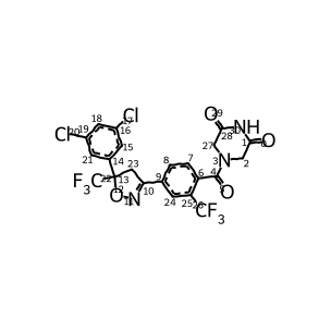 O=C1CN(C(=O)c2ccc(C3=NOC(c4cc(Cl)cc(Cl)c4)(C(F)(F)F)C3)cc2C(F)(F)F)CC(=O)N1